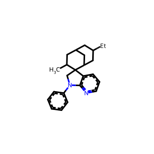 CCC1CC2CC(C)C3(CN(c4ccccc4)c4ncccc43)C(C1)C2